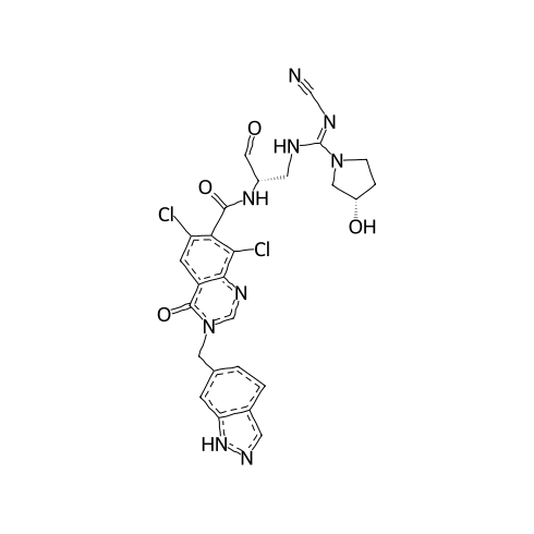 N#C/N=C(\NC[C@@H](C=O)NC(=O)c1c(Cl)cc2c(=O)n(Cc3ccc4cn[nH]c4c3)cnc2c1Cl)N1CC[C@H](O)C1